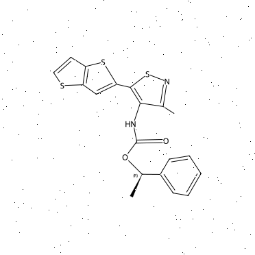 Cc1nsc(-c2cc3sccc3s2)c1NC(=O)O[C@H](C)c1ccccc1